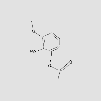 COc1cccc(OC(C)=O)c1O